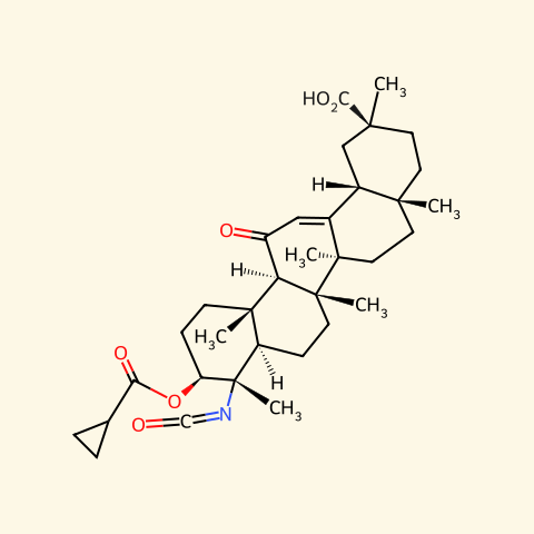 C[C@]1(C(=O)O)CC[C@]2(C)CC[C@]3(C)C(=CC(=O)[C@@H]4[C@@]5(C)CC[C@H](OC(=O)C6CC6)[C@@](C)(N=C=O)[C@@H]5CC[C@]43C)[C@@H]2C1